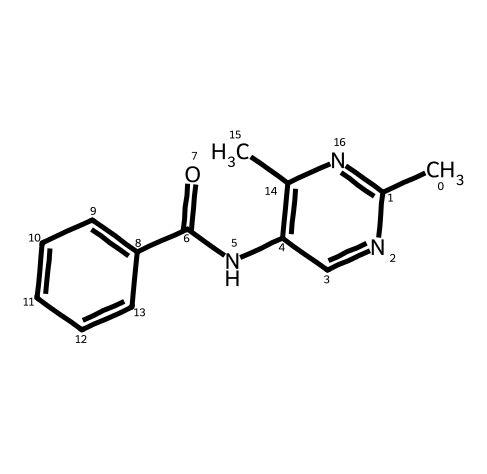 Cc1ncc(NC(=O)c2ccccc2)c(C)n1